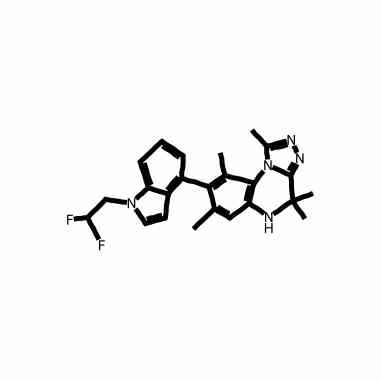 Cc1cc2c(c(C)c1-c1cccc3c1ccn3CC(F)F)-n1c(C)nnc1C(C)(C)N2